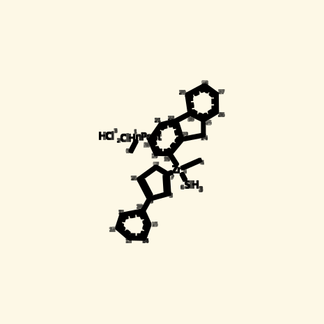 CCCCCC.Cl.Cl.[CH3][Zr]([SiH3])([C]1=CC(c2ccccc2)=CC1)[c]1cccc2c1Cc1ccccc1-2